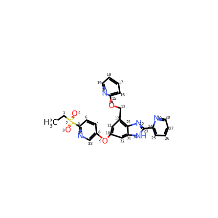 CCS(=O)(=O)c1ccc(Oc2cc(COc3ccccn3)c3nc(-c4ccccn4)[nH]c3c2)cn1